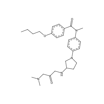 CCCCOc1ccc(C(=O)N(C)c2ccc(N3CCC(NCC(=O)CN(C)C)C3)cc2)cc1